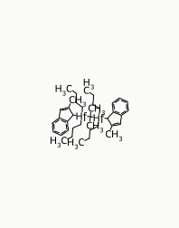 CCC[CH2][Hf]([CH2]CCC)([CH]1C(C)=Cc2ccccc21)[C](C)(C)[Hf]([CH2]CCC)([CH2]CCC)[CH]1C(C)=Cc2ccccc21